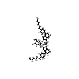 CCCCCCC1=Cc2c(-c3ccc(CCCCCC)cc3)cccc2C1C[SiH2]CC1C(CCCCCC)=Cc2c(-c3ccc(CCCCCC)cc3)cccc21